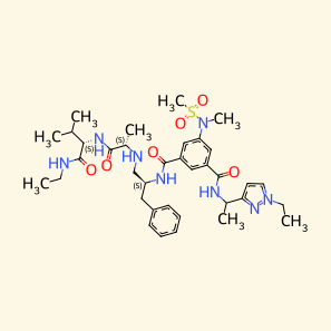 CCNC(=O)[C@@H](NC(=O)[C@H](C)NC[C@H](Cc1ccccc1)NC(=O)c1cc(C(=O)NC(C)c2ccn(CC)n2)cc(N(C)S(C)(=O)=O)c1)C(C)C